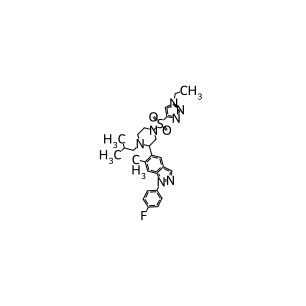 CCn1cc(S(=O)(=O)N2CCN(CC(C)C)C(c3cc4cnn(-c5ccc(F)cc5)c4cc3C)C2)nn1